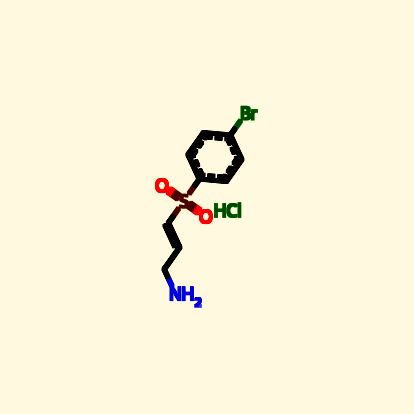 Cl.NCC=CS(=O)(=O)c1ccc(Br)cc1